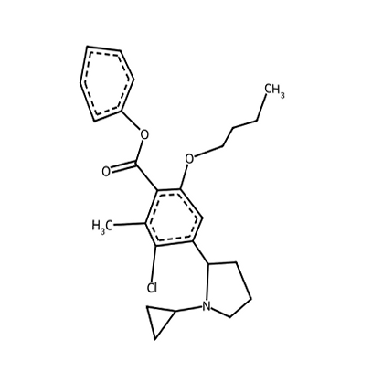 CCCCOc1cc(C2CCCN2C2CC2)c(Cl)c(C)c1C(=O)Oc1ccccc1